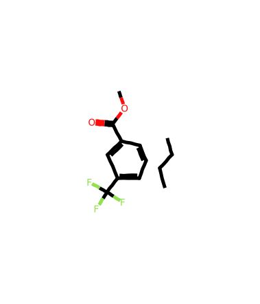 CCCC.COC(=O)c1cccc(C(F)(F)F)c1